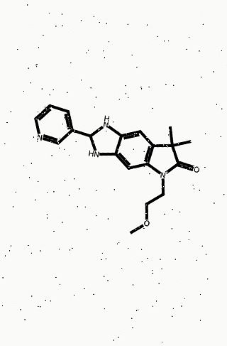 COCCN1C(=O)C(C)(C)c2cc3c(cc21)NC(c1cccnc1)N3